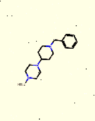 O=C(O)N1CCN(C2CCN(Cc3ccccc3)CC2)CC1